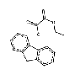 C=C(OCC)C(=O)O.c1ccc2c(c1)Cc1ccccc1-2